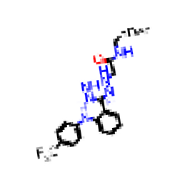 CCCCCCCCCCCNC(=O)CN/N=C(\N=N)c1ccccc1Nc1ccc(C(F)(F)F)cc1